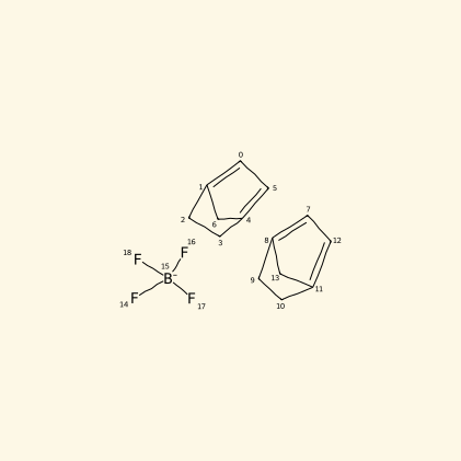 C1=C2CCC(=C1)C2.C1=C2CCC(=C1)C2.F[B-](F)(F)F